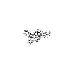 CC1(C)c2ccccc2-c2cc3c(cc21)P(=O)(c1ccccc1)c1cc(-c2nc(-c4ccccc4)nc(-c4ccccc4)n2)ccc1[Si]3(C)C